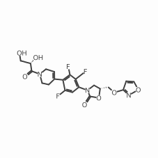 O=C([C@@H](O)CO)N1CC=C(c2c(F)cc(N3C[C@H](COc4ccon4)OC3=O)c(F)c2F)CC1